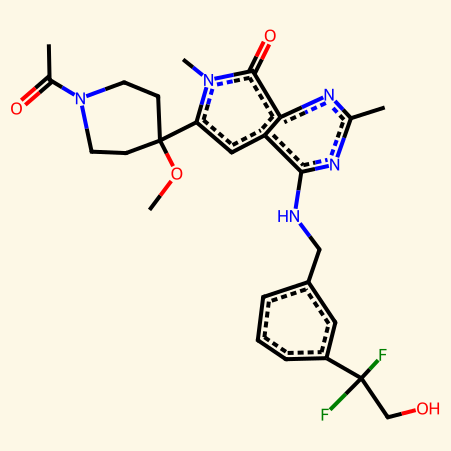 COC1(c2cc3c(NCc4cccc(C(F)(F)CO)c4)nc(C)nc3c(=O)n2C)CCN(C(C)=O)CC1